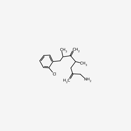 C=C(CN)CC(C)C(=C)C(C)Cc1ccccc1Cl